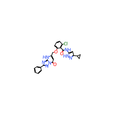 O=C(Nc1cc(C2CC2)n[nH]1)c1c(Cl)cccc1OCc1cc(=O)n2nc(-c3ccccc3)nc2[nH]1